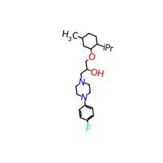 CC1CCC(C(C)C)C(OCC(O)CN2CCN(c3ccc(F)cc3)CC2)C1